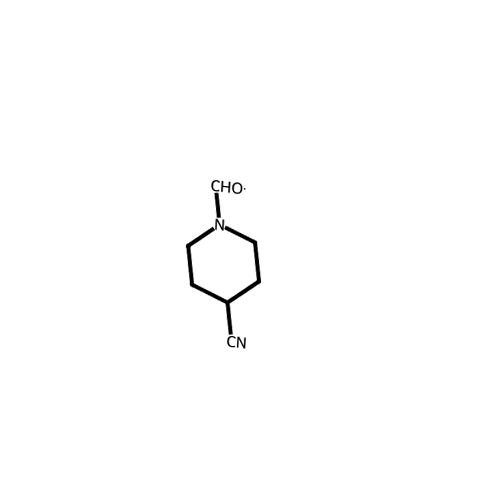 N#CC1CCN([C]=O)CC1